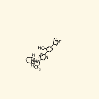 CN(c1cnc(-c2ccc(-c3cnn(C)c3)cc2O)nn1)[C@H]1C[C@@H]2CCC[C@@H](N2)[C@H]1C(F)(F)F